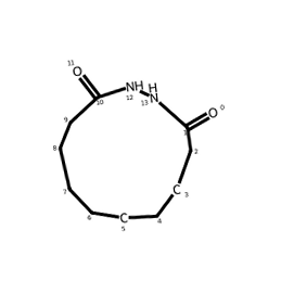 O=C1CCCCCCCCC(=O)NN1